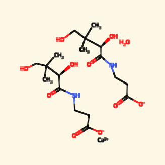 CC(C)(CO)[C@@H](O)C(=O)NCCC(=O)[O-].CC(C)(CO)[C@@H](O)C(=O)NCCC(=O)[O-].O.[Ca+2]